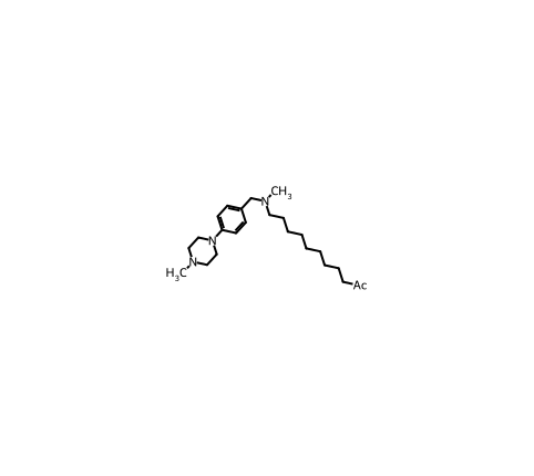 CC(=O)CCCCCCCCCN(C)Cc1ccc(N2CCN(C)CC2)cc1